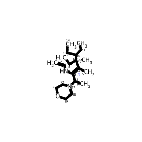 C=CN/C(=C(/C)[C@@](C)(CC)C(CC)CC)C(C)N1CCOCC1